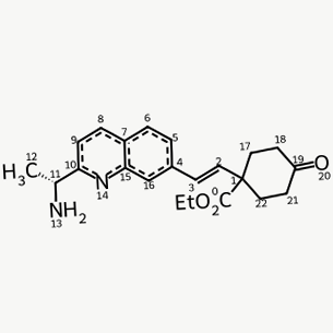 CCOC(=O)C1(/C=C/c2ccc3ccc([C@@H](C)N)nc3c2)CCC(=O)CC1